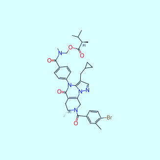 Cc1cc(C(=O)N2Cc3c(c(=O)n(-c4ccc(C(=O)N(C)COC(=O)[C@H](C)C(C)C)cc4)c4c(CC5CC5)cnn34)C[C@H]2C)ccc1Br